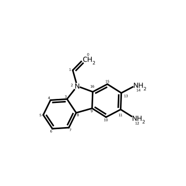 C=Cn1c2ccccc2c2cc(N)c(N)cc21